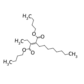 CCCCCCCCC(C(=O)OCCCC)=C(CC)C(=O)OCCCC